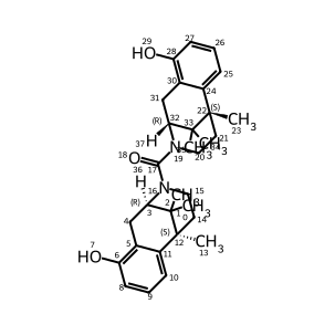 CC1(C)[C@H]2Cc3c(O)cccc3[C@]1(C)CCN2C(=O)N1CC[C@@]2(C)c3cccc(O)c3C[C@@H]1C2(C)C